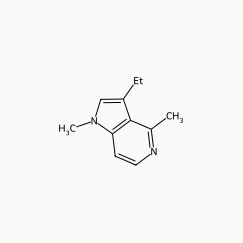 CCc1cn(C)c2ccnc(C)c12